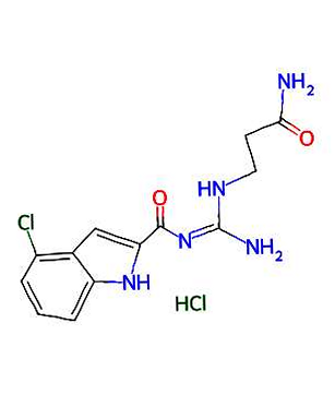 Cl.NC(=O)CCNC(N)=NC(=O)c1cc2c(Cl)cccc2[nH]1